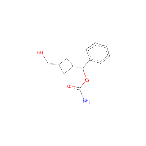 NC(=O)OC(c1ccccc1)[C@H]1C[C@@H](CO)C1